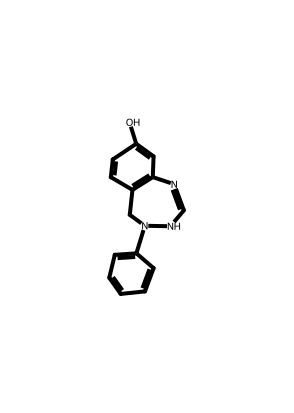 Oc1ccc2c(c1)N=CNN(c1ccccc1)C2